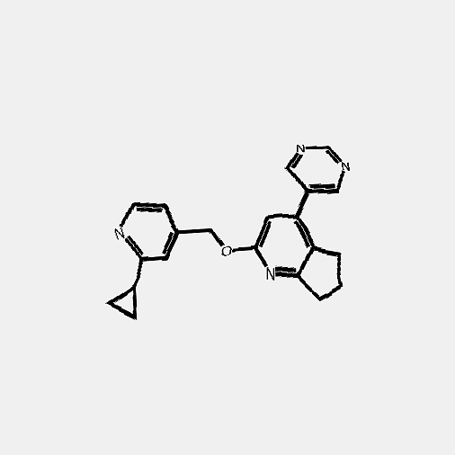 c1ncc(-c2cc(OCc3ccnc(C4CC4)c3)nc3c2CCC3)cn1